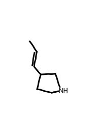 CC=CC1CCNC1